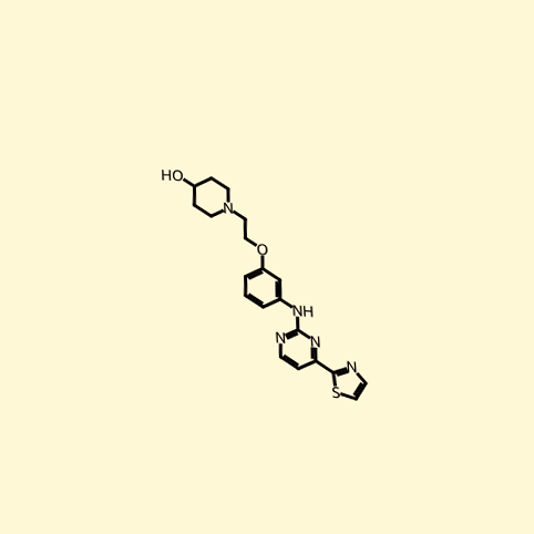 OC1CCN(CCOc2cccc(Nc3nccc(-c4nccs4)n3)c2)CC1